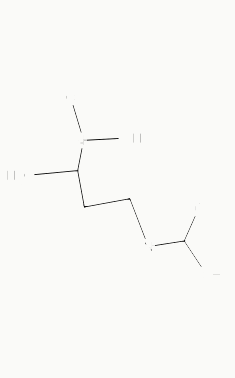 CC(C)NCCC(C)[SiH](O)O